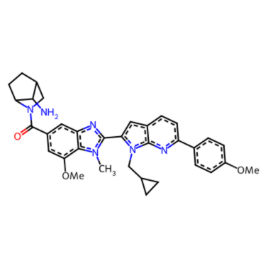 COc1ccc(-c2ccc3cc(-c4nc5cc(C(=O)N6CC7CCC6C7N)cc(OC)c5n4C)n(CC4CC4)c3n2)cc1